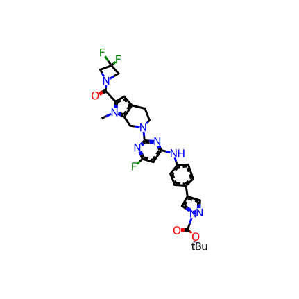 Cn1c(C(=O)N2CC(F)(F)C2)cc2c1CN(c1nc(F)cc(Nc3ccc(-c4cnn(C(=O)OC(C)(C)C)c4)cc3)n1)CC2